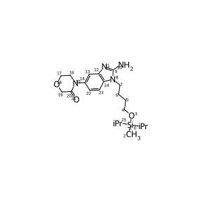 CC(C)[Si](C)(OCCCCn1c(N)nc2cc(N3CCOCC3=O)ccc21)C(C)C